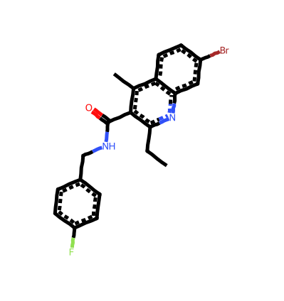 CCc1nc2cc(Br)ccc2c(C)c1C(=O)NCc1ccc(F)cc1